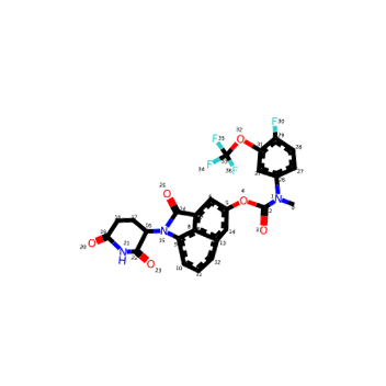 CN(C(=O)Oc1cc2c3c(cccc3c1)N(C1CCC(=O)NC1=O)C2=O)c1ccc(F)c(OC(F)(F)F)c1